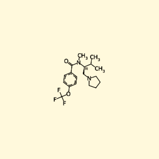 CC(C)[C@@H](CN1CCCC1)N(C)C(=O)c1ccc(OC(F)(F)F)cc1